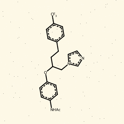 CC(=O)Nc1ccc(OC(CCc2ccc(C(F)(F)F)cc2)Cn2ccnc2)cc1